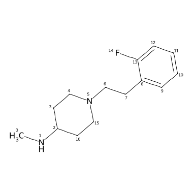 CNC1CCN(CCc2ccccc2F)CC1